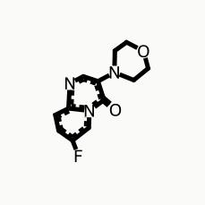 O=c1c(N2CCOCC2)cnc2ccc(F)cn12